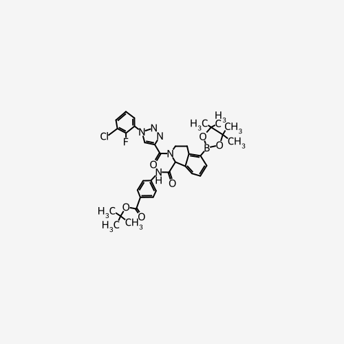 CC(C)(C)OC(=O)c1ccc(NC(=O)C2c3cccc(B4OC(C)(C)C(C)(C)O4)c3CCN2C(=O)c2cn(-c3cccc(Cl)c3F)nn2)cc1